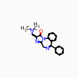 CN(C)C=C1N=C2CN=C(c3ccccc3)c3ccccc3N2C1=O